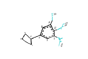 Fc1cc([C]2CCC2)cc(F)c1F